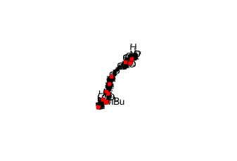 CCCCC(Cc1c[nH]c2ccccc12)NC(=O)c1cnc(N2CCN(c3ccc(OCCOCCOc4ccc5c(c4)C(=O)N(C4CCC(=O)NC4=O)C5=O)cc3)CC2)s1